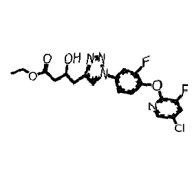 CCOC(=O)CC(O)Cc1cn(-c2ccc(Oc3ncc(Cl)cc3F)c(F)c2)nn1